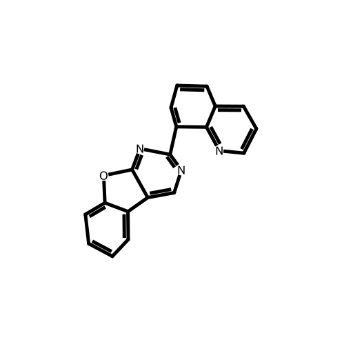 c1cnc2c(-c3ncc4c(n3)oc3ccccc34)cccc2c1